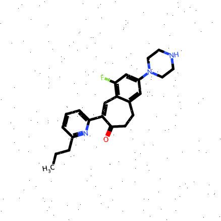 CCCc1cccc(C2=Cc3c(F)cc(N4CCNCC4)cc3CCC2=O)n1